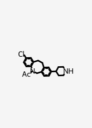 CC(=O)N1Cc2ccc(C3CCNCC3)cc2CCc2cc(Cl)ccc21